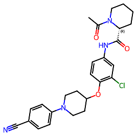 CC(=O)N1CCCC[C@@H]1C(=O)Nc1ccc(OC2CCN(c3ccc(C#N)cc3)CC2)c(Cl)c1